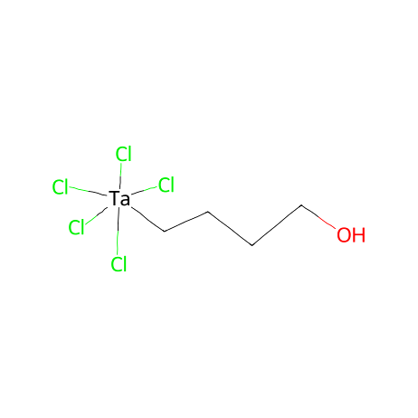 OCCC[CH2][Ta]([Cl])([Cl])([Cl])([Cl])[Cl]